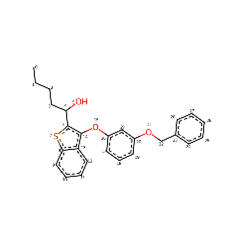 CCCCC(O)c1sc2ccccc2c1Oc1cccc(OCc2ccccc2)c1